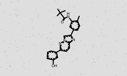 Cc1ccc(-c2cn3nc(-c4cccc(O)c4)ccc3n2)cc1NC(=O)C(C)(C)C